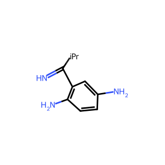 CC(C)C(=N)c1cc(N)ccc1N